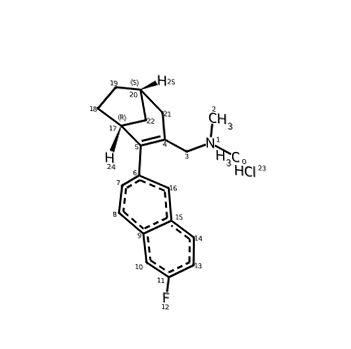 CN(C)CC1=C(c2ccc3cc(F)ccc3c2)[C@@H]2CC[C@H](C1)C2.Cl